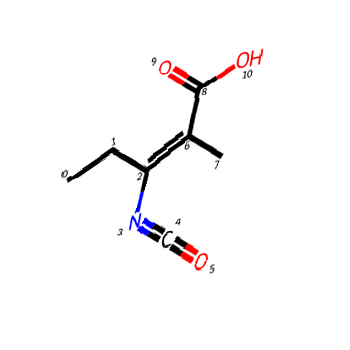 CCC(N=C=O)=C(C)C(=O)O